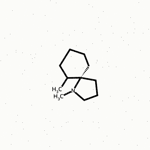 CC1CCCC[C@@]12CCCN2C